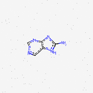 Nc1nc2ncncc2[nH]1